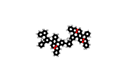 c1ccc(-c2c3ccccc3c(-c3cc4c(cc3-c3cccc5ccccc35)oc3c(-c5ccc(-c6c7ccccc7c(-c7cc(-c8cccc9ccccc89)c8oc9ccccc9c8c7)c7ccccc67)c(-c6ccc7ccccc7c6)c5)cccc34)c3ccccc23)c(-c2ccc3ccccc3c2)c1